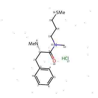 CN[C@@H](Cc1ccccc1)C(=O)N(C)CCCSC.Cl